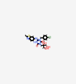 Cc1nc2ccc(/N=c3\[nH]c(=O)n(CC(O)(CO)CO)c(=O)n3Cc3ccc(Cl)cc3)cc2s1